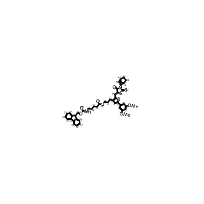 COc1cc(OC)cc(-c2cc(CCCOC(=O)CCCCNC(=O)OCC3c4ccccc4-c4ccccc43)c(/C=C3\SC(=S)N(C4CC5CCC4C5)C3=O)o2)c1